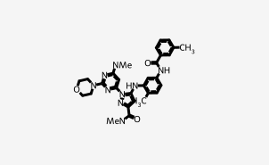 CNC(=O)c1cc(Nc2cc(NC(=O)c3cccc(C)c3)ccc2C)n(-c2cc(NC)nc(N3CCOCC3)n2)n1